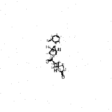 Cc1ccccc1[C@@H]1[C@@H]2CN(C(=O)C3CC4(COC(=O)N4)C3)C[C@@H]21